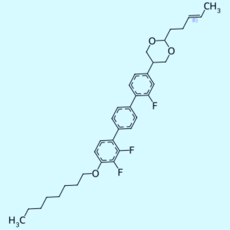 C/C=C/CCC1OCC(c2ccc(-c3ccc(-c4ccc(OCCCCCCCC)c(F)c4F)cc3)c(F)c2)CO1